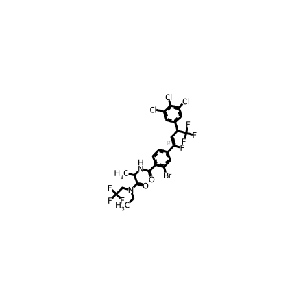 CCN(CC(F)(F)F)C(=O)C(C)NC(=O)c1ccc(/C(F)=C/C(c2cc(Cl)c(Cl)c(Cl)c2)C(F)(F)F)cc1Br